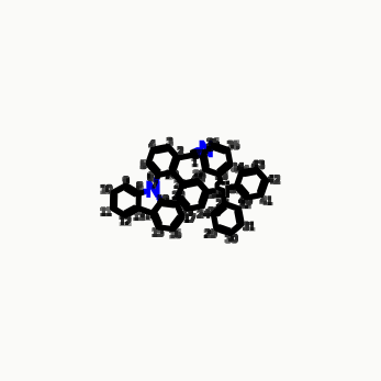 N#Cc1cccc(-n2c3ccccc3c3ccccc32)c1-c1cccc([Si](c2ccccc2)(c2ccccc2)c2ccccc2)c1